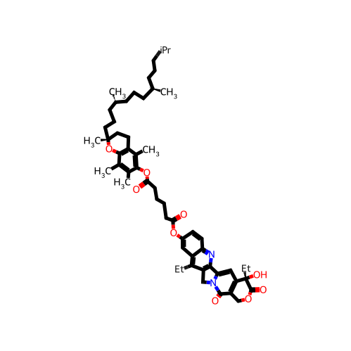 CCc1c2c(nc3ccc(OC(=O)CCCCC(=O)Oc4c(C)c(C)c5c(c4C)CC[C@@](C)(CCC[C@H](C)CCC[C@H](C)CCCC(C)C)O5)cc13)-c1cc3c(c(=O)n1C2)COC(=O)[C@]3(O)CC